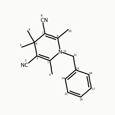 CC1=C(C#N)C(C)(C)C(C#N)=C(C)N1Cc1ccccc1